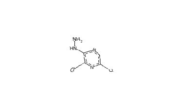 NNc1ncc(Cl)nc1Cl